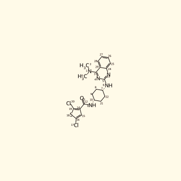 CN(C)c1nc(N[C@H]2CC[C@@H](NC(=O)c3cc(Cl)sc3Cl)CC2)nc2ccccc12